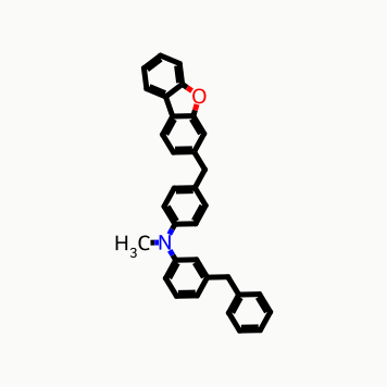 CN(c1ccc(Cc2ccc3c(c2)oc2ccccc23)cc1)c1cccc(Cc2ccccc2)c1